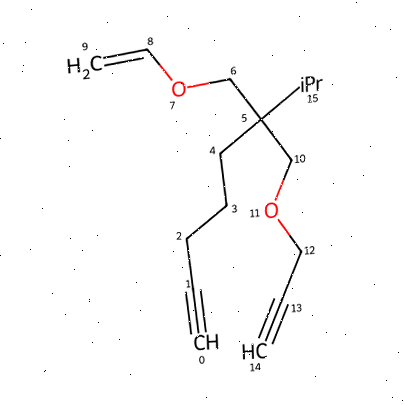 C#CCCCC(COC=C)(COCC#C)C(C)C